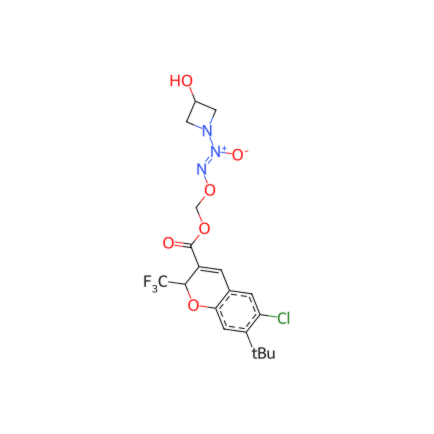 CC(C)(C)c1cc2c(cc1Cl)C=C(C(=O)OCO/N=[N+](\[O-])N1CC(O)C1)C(C(F)(F)F)O2